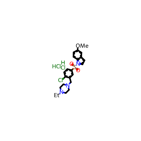 CCN1CCN(Cc2cc(S(=O)(=O)n3ccc4cc(OC)ccc43)ccc2Cl)CC1.Cl.Cl